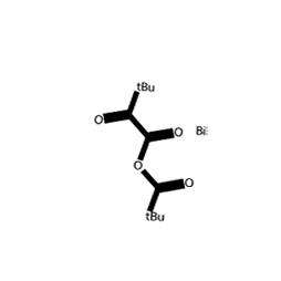 CC(C)(C)C(=O)OC(=O)C(=O)C(C)(C)C.[Bi]